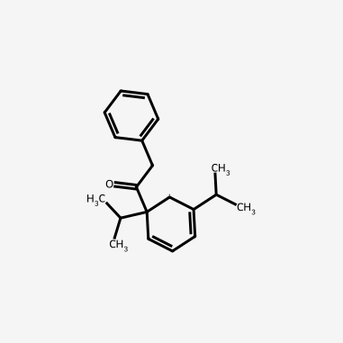 CC(C)C1=CC=CC(C(=O)Cc2ccccc2)(C(C)C)[CH]1